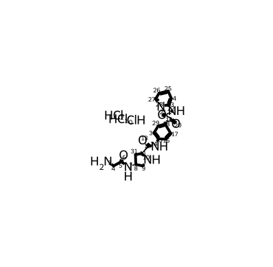 Cl.Cl.Cl.NCC(=O)N[C@H]1CN[C@H](C(=O)Nc2ccc(S(=O)(=O)Nc3ccccn3)cc2)C1